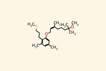 COC(C)(C)CCCC(C)=CCOc1cc(C)cc(C)c1CCCSC